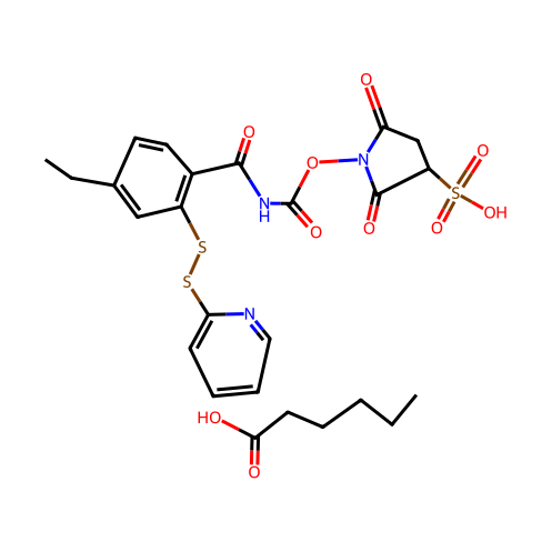 CCCCCC(=O)O.CCc1ccc(C(=O)NC(=O)ON2C(=O)CC(S(=O)(=O)O)C2=O)c(SSc2ccccn2)c1